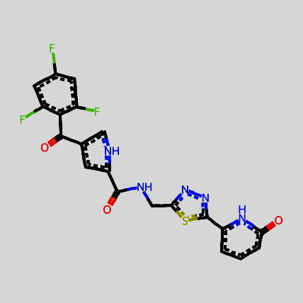 O=C(NCc1nnc(-c2cccc(=O)[nH]2)s1)c1cc(C(=O)c2c(F)cc(F)cc2F)c[nH]1